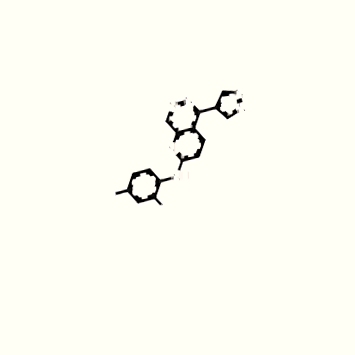 Fc1ccc(Nc2ccc3c(-c4cn[nH]c4)nncc3n2)c(F)c1